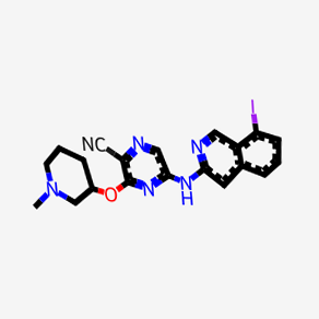 CN1CCCC(Oc2nc(Nc3cc4cccc(I)c4cn3)cnc2C#N)C1